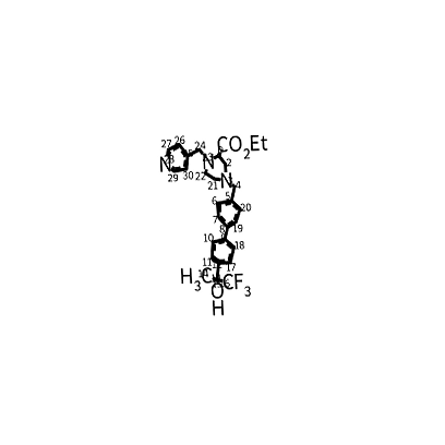 CCOC(=O)C1CN(Cc2ccc(-c3ccc(C(C)(O)C(F)(F)F)cc3)cc2)CCN1Cc1ccncc1